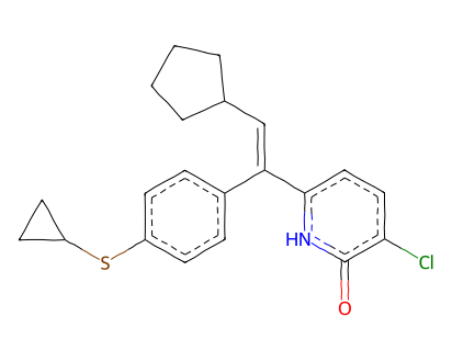 O=c1[nH]c(C(=CC2CCCC2)c2ccc(SC3CC3)cc2)ccc1Cl